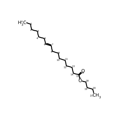 CCCCCCC=CCCCCCCCC(=O)OCCCC